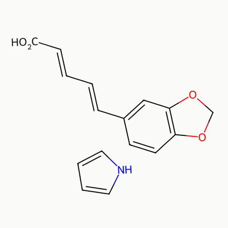 O=C(O)C=CC=Cc1ccc2c(c1)OCO2.c1cc[nH]c1